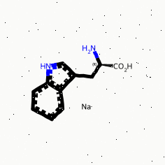 N[C@H](Cc1c[nH]c2ccccc12)C(=O)O.[Na]